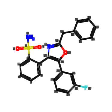 NS(=O)(=O)c1ccccc1-c1nc(Cc2ccccc2)oc1-c1cccc(F)c1